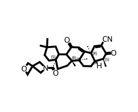 C[C@@H]1C(=O)C(C#N)=C[C@]2(C)C3=CC(=O)C4C5CC(C)(C)CC[C@]5(C(=O)N5CC6(COC6)C5)CC[C@@]4(C)[C@]3(C)CC[C@@H]12